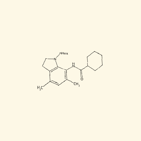 CCCCCCN1CCc2c(C)cc(C)c(NC(=O)C3CCCCC3)c21